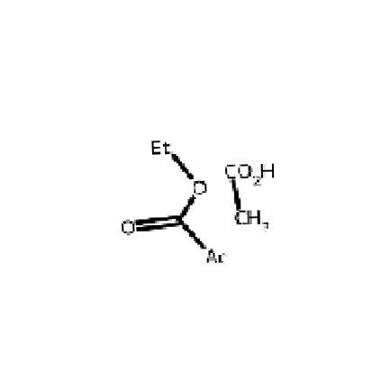 CC(=O)O.CCOC(=O)C(C)=O